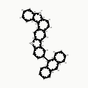 c1ccc2c(-c3ccc4oc5cc6c(ccc7oc8ccccc8c76)cc5c4c3)c3ccccc3cc2c1